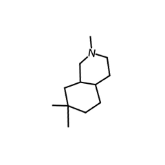 CN1CCC2CCC(C)(C)CC2C1